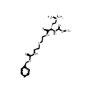 C[SH](C)CC[C@H](NC(=O)OC(C)(C)C)C(=O)NCCOCCNC(=O)OCc1ccccc1